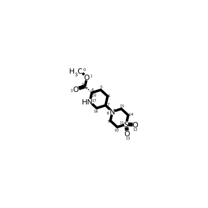 COC(=O)[C@@H]1CCC(N2CCS(=O)(=O)CC2)CN1